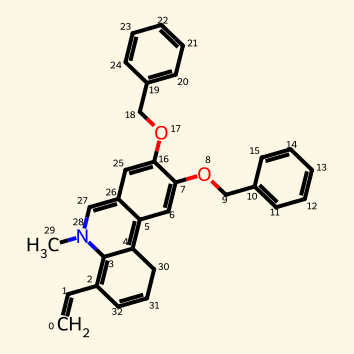 C=CC1=C2C(=c3cc(OCc4ccccc4)c(OCc4ccccc4)cc3=CN2C)CC=C1